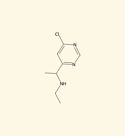 CCNC(C)c1cc(Cl)ncn1